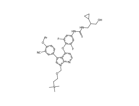 CC(C)Oc1ccc(-c2cn(COCC[Si](C)(C)C)c3nccc(Oc4c(F)cc(NC(=S)NCC(CO)C5CC5)cc4F)c23)cc1C#N